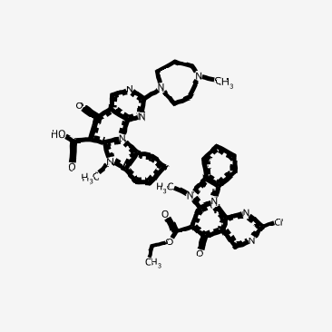 CCOC(=O)c1c(=O)c2cnc(Cl)nc2n2c3ccccc3n(C)c12.CN1CCCN(c2ncc3c(=O)c(C(=O)O)c4n(C)c5ccccc5n4c3n2)CC1